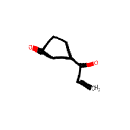 C=CC(=O)C1CCC(=O)C1